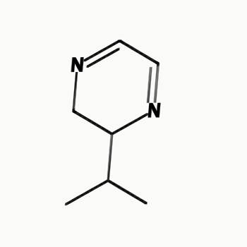 CC(C)C1CN=CC=N1